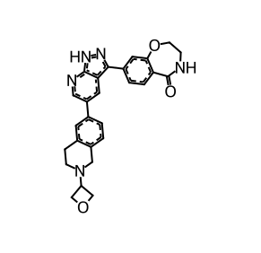 O=C1NCCOc2cc(-c3n[nH]c4ncc(-c5ccc6c(c5)CCN(C5COC5)C6)cc34)ccc21